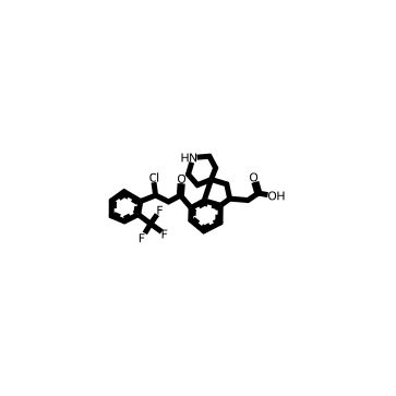 O=C(O)CC1CC2(CCNCC2)c2c(C(=O)CC(Cl)c3ccccc3C(F)(F)F)cccc21